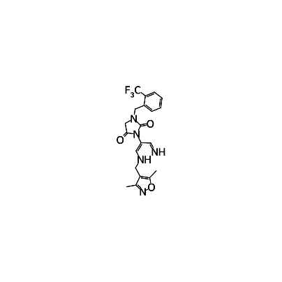 Cc1noc(C)c1CN/C=C(\C=N)N1C(=O)CN(Cc2ccccc2C(F)(F)F)C1=O